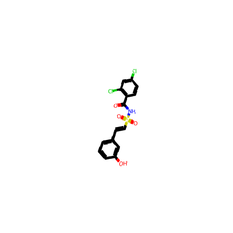 O=C(NS(=O)(=O)C=Cc1cccc(O)c1)c1ccc(Cl)cc1Cl